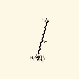 CCCCCCCCCCCCCCCCCCO[N+](C)(C)C.[Br-]